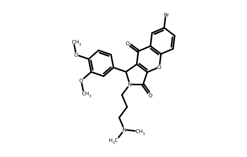 COc1ccc(C2c3c(oc4ccc(Br)cc4c3=O)C(=O)N2CCCN(C)C)cc1OC